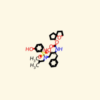 CC(C)CN(C[C@@H](O)[C@H](Cc1ccccc1)NC(=O)OC1CCCC12CCCO2)S(=O)(=O)c1cccc(O)c1